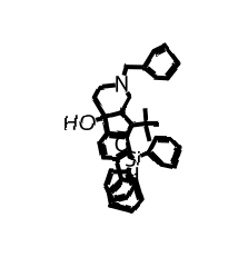 CC(C)(C)C(O[SiH](c1ccccc1)c1ccccc1)C1CN(Cc2ccccc2)CCC1(O)c1ccc(-c2ccccc2)cc1